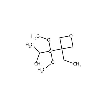 CCC1([Si](OC)(OC)C(C)C)COC1